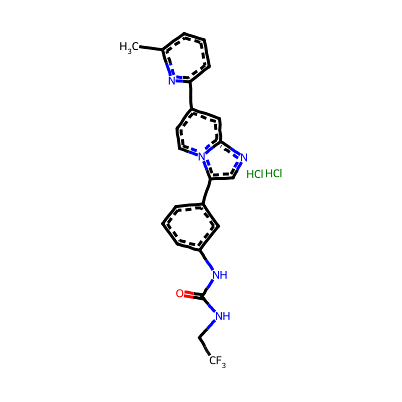 Cc1cccc(-c2ccn3c(-c4cccc(NC(=O)NCC(F)(F)F)c4)cnc3c2)n1.Cl.Cl